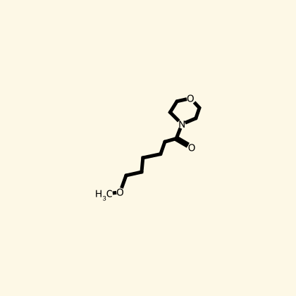 COCCCCCC(=O)N1CCOCC1